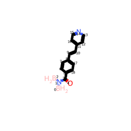 BN(B)C(=O)c1ccc(/C=C/c2ccncc2)cc1